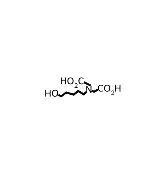 O=C(O)CN(CCCCCO)CC(=O)O